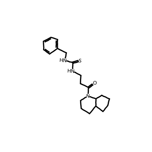 O=C(CCNC(=S)NCc1ccccc1)N1CCCC2CCCCC21